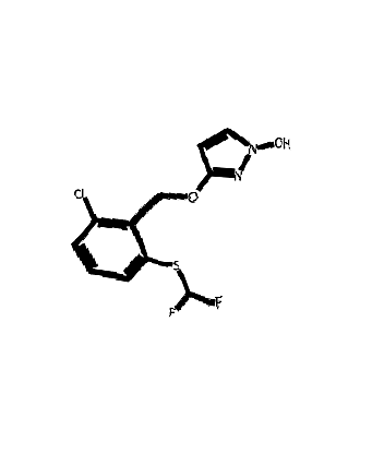 On1ccc(OCc2c(Cl)cccc2SC(F)F)n1